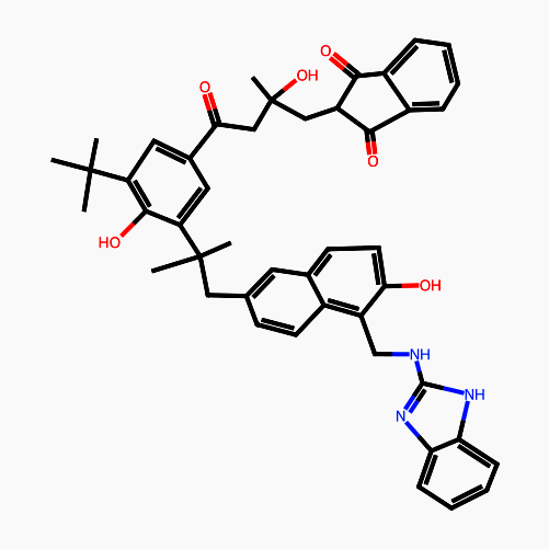 CC(O)(CC(=O)c1cc(C(C)(C)C)c(O)c(C(C)(C)Cc2ccc3c(CNc4nc5ccccc5[nH]4)c(O)ccc3c2)c1)CC1C(=O)c2ccccc2C1=O